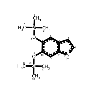 C[Si](C)(C)Oc1cc2cc[nH]c2cc1O[Si](C)(C)C